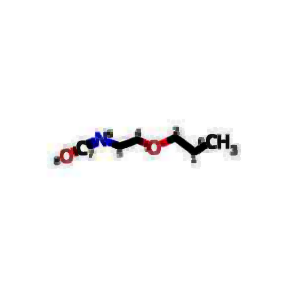 CCCOCCN=C=O